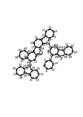 c1ccc(-c2nc(-n3c4ccccc4c4ccc5c(oc6cc(-n7c8ccccc8c8ccccc87)c7ccccc7c65)c43)nc3c2sc2ccccc23)cc1